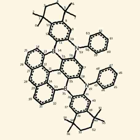 CC1(C)CCC(C)(C)c2cc3c(cc21)B1c2c(cc4c5c2-c2c6c1cccc6cc1cccc(c21)B5c1cc2c(cc1N4c1ccccc1)C(C)(C)CCC2(C)C)N3c1ccccc1